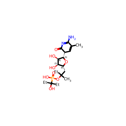 CCC(C)(C[C@H]1O[C@@H](C2C=C(C)C(N)=NC2=O)[C@H](O)[C@@H]1O)OP(=O)(O)C(O)(CC)CC